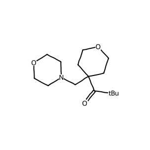 CC(C)(C)C(=O)C1(CN2CCOCC2)CCOCC1